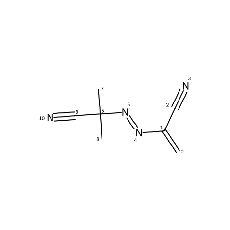 C=C(C#N)N=NC(C)(C)C#N